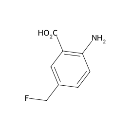 Nc1ccc(CF)cc1C(=O)O